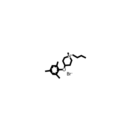 CCCC[N+]1(C)CCC(Oc2c(C)cc(C)cc2C)CC1.[Br-]